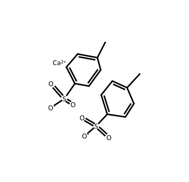 Cc1ccc(S(=O)(=O)[O-])cc1.Cc1ccc(S(=O)(=O)[O-])cc1.[Ca+2]